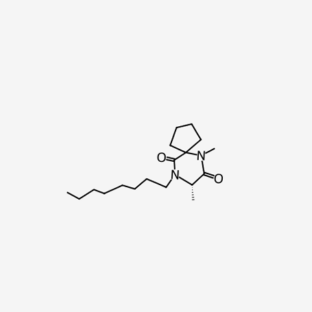 CCCCCCCCN1C(=O)C2(CCCC2)N(C)C(=O)[C@@H]1C